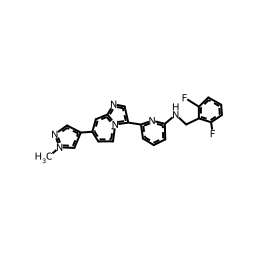 Cn1cc(-c2ccn3c(-c4cccc(NCc5c(F)cccc5F)n4)cnc3c2)cn1